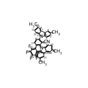 Cc1ccc2c(c1)c1cc(C)ccc1n2-c1ccc(-c2c(F)c(F)c(F)c(F)c2F)c(-n2c3ccc(C)cc3c3cc(C)ccc32)c1C#N